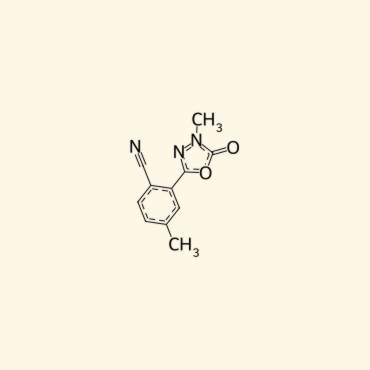 Cc1ccc(C#N)c(-c2nn(C)c(=O)o2)c1